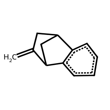 C=C1CC2CC1c1ccccc12